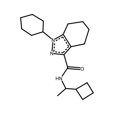 CC(NC(=O)c1nn(C2CCCCC2)c2c1CCCC2)C1CCC1